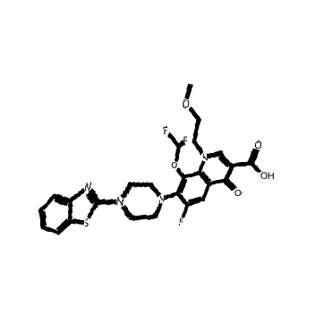 COCCn1cc(C(=O)O)c(=O)c2cc(F)c(N3CCN(c4nc5ccccc5s4)CC3)c(OC(F)F)c21